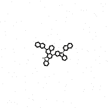 B1c2ccccc2-c2cc(-c3ccc4c(c3)c3ccccc3n4-c3ccc4ccccc4c3)c3c(cc(-c4ccc5ccccc5c4)c4ccccc43)c21